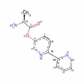 C[C@H](N)C(=O)Oc1ccc(-c2ccccn2)nc1